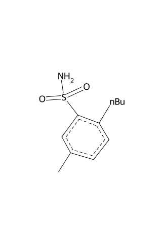 CCCCc1ccc(C)cc1S(N)(=O)=O